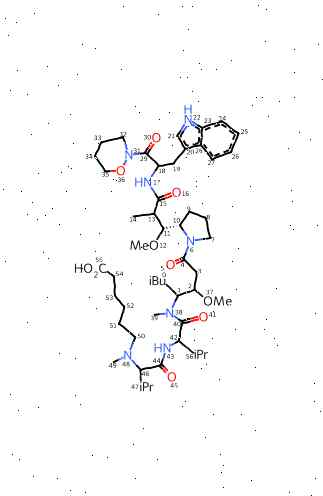 CCC(C)C(C(CC(=O)N1CCC[C@H]1C(OC)C(C)C(=O)NC(Cc1c[nH]c2ccccc12)C(=O)N1CCCCO1)OC)N(C)C(=O)C(NC(=O)C(C(C)C)N(C)CCCCCC(=O)O)C(C)C